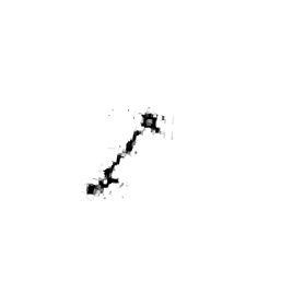 COP(=O)(O)O[C@@H]1C[C@@H](CO)N(C(=O)CCCCCNC(=O)CCCCOC2OC(CO)C(O)C(O)C2NC(C)=O)C1